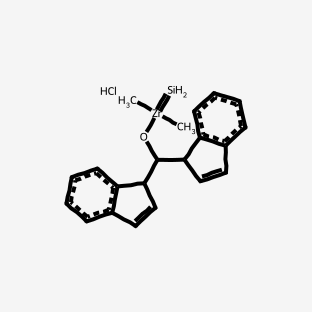 Cl.[CH3][Zr]([CH3])(=[SiH2])[O]C(C1C=Cc2ccccc21)C1C=Cc2ccccc21